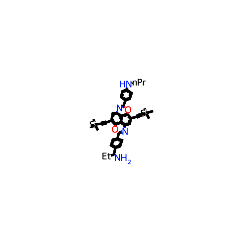 CCCNc1ccc(C2=Nc3cc(C#C[Si](C)(C)C)c4c5c(cc(C#C[Si](C)(C)C)c(c35)O2)N=C(c2ccc(C(N)CC)cc2)O4)cc1